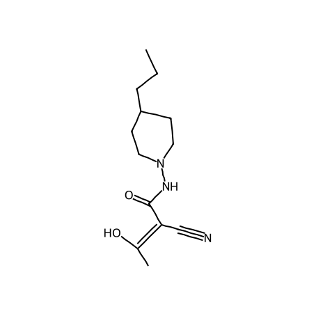 CCCC1CCN(NC(=O)/C(C#N)=C(/C)O)CC1